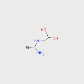 CCC(N)NCC(O)O